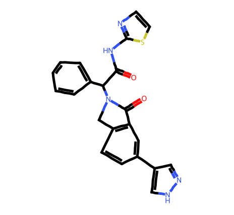 O=C(Nc1nccs1)C(c1ccccc1)N1Cc2ccc(-c3cn[nH]c3)cc2C1=O